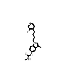 CNC(=O)Oc1ccc2c(c1)c(C)cn2CCCCc1ccncc1F